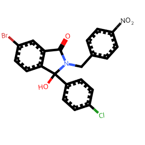 O=C1c2cc(Br)ccc2C(O)(c2ccc(Cl)cc2)N1Cc1ccc([N+](=O)[O-])cc1